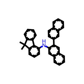 CC1(C)c2ccccc2-c2c(Nc3cc4ccccc4cc3-c3ccc4ccccc4c3)cccc21